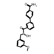 COc1cccc(CN(O)C(=O)c2cccc(-c3ccc(C(N)=O)cc3)c2)c1